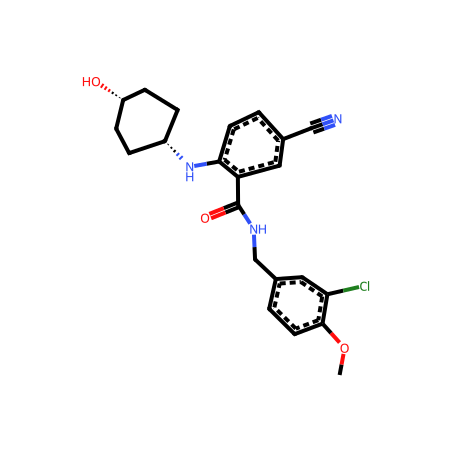 COc1ccc(CNC(=O)c2cc(C#N)ccc2N[C@H]2CC[C@@H](O)CC2)cc1Cl